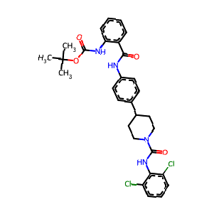 CC(C)(C)OC(=O)Nc1ccccc1C(=O)Nc1ccc(C2CCN(C(=O)Nc3c(Cl)cccc3Cl)CC2)cc1